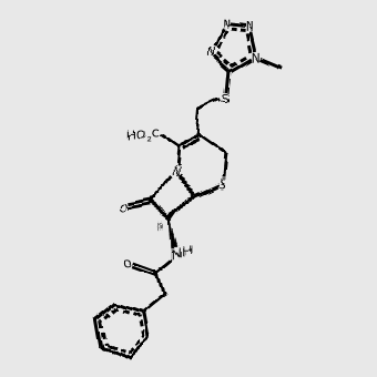 Cn1nnnc1SCC1=C(C(=O)O)N2C(=O)[C@H](NC(=O)Cc3ccccc3)C2SC1